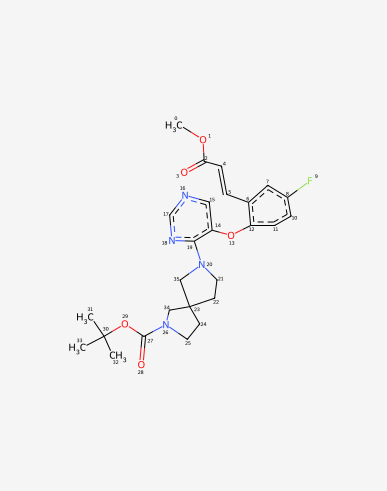 COC(=O)/C=C/c1cc(F)ccc1Oc1cncnc1N1CCC2(CCN(C(=O)OC(C)(C)C)C2)C1